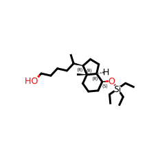 CC[Si](CC)(CC)O[C@H]1CCC[C@]2(C)[C@@H](C(C)CCCCO)CC[C@@H]12